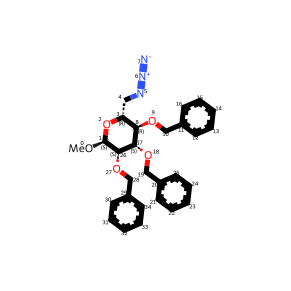 CO[C@H]1O[C@H](CN=[N+]=[N-])[C@@H](OCc2ccccc2)[C@H](OCc2ccccc2)[C@@H]1OCc1ccccc1